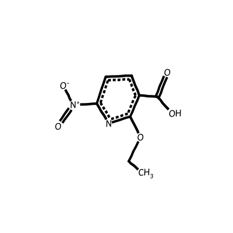 CCOc1nc([N+](=O)[O-])ccc1C(=O)O